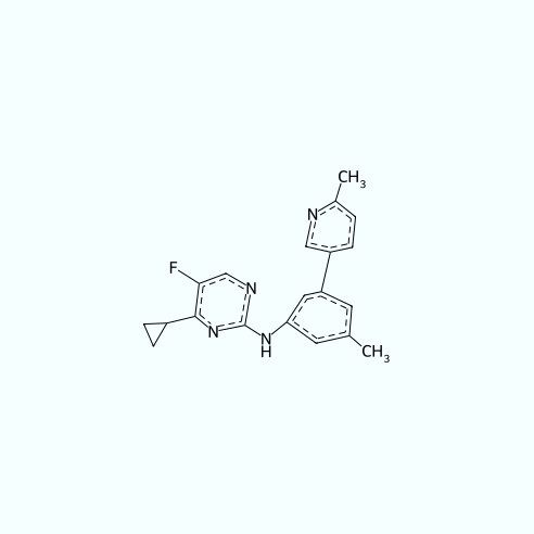 Cc1cc(Nc2ncc(F)c(C3CC3)n2)cc(-c2ccc(C)nc2)c1